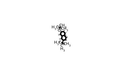 CC(C)(C)Oc1ccc2ccc(C(C)(C)C)cc2c1